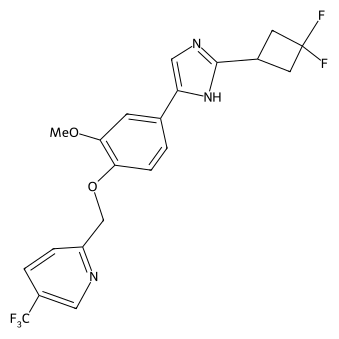 COc1cc(-c2cnc(C3CC(F)(F)C3)[nH]2)ccc1OCc1ccc(C(F)(F)F)cn1